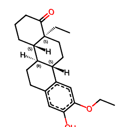 CCOc1cc2c(cc1O)CC[C@@H]1[C@@H]2CC[C@]2(CC)C(=O)CCC[C@@H]12